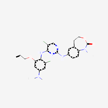 C=CCOc1cc(N(C)C)cc(F)c1Nc1nc(Nc2ccc3c(c2)CCOC(=O)N3C)ncc1Cl